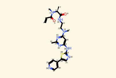 C=CC(=O)N(C)[C@@H](C)C(=O)NCCN(C)c1cc(Nc2ncc(-c3ccncc3)s2)nc(C)n1